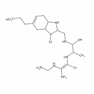 CCN1C(CNC(O)C(C)N/C(Cl)=C(/N)NCN)NC2CC=C(CCC(=O)O)CC21